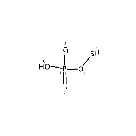 OP(=S)(Cl)OS